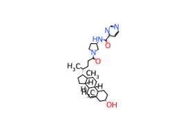 CC(CCC(=O)N1CCC(NC(=O)c2ccncn2)C1)[C@H]1CC[C@H]2[C@@H]3CC=C4C[C@@H](O)CC[C@]4(C)[C@H]3CC[C@]12C